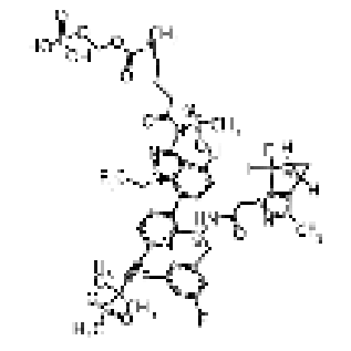 CN(CCCC(=O)N(c1nn(CC(F)(F)F)c2c(-c3ccc(C#CC(C)(C)S(C)(=O)=O)nc3[C@H](Cc3cc(F)cc(F)c3)NC(=O)Cn3nc(C(F)(F)F)c4c3C(F)(F)[C@@H]3C[C@H]43)ccc(Cl)c12)S(C)(=O)=O)C(=O)OCOP(=O)(O)O